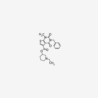 CCN1CCCC(OC(=O)c2csc3c2c(=O)n(Cc2ccccc2)c(=O)n3C)C1